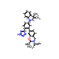 CCCCC(=O)N(Cc1ccc(-c2cc(N3CC(C)(C)c4ccccc43)ccc2-c2nn[nH]n2)cc1)[C@H](C(=O)O)C(C)C